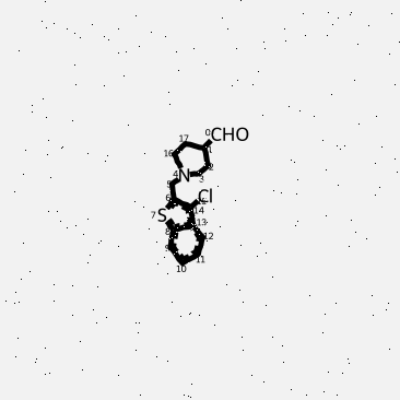 O=CC1CCN(Cc2sc3ccccc3c2Cl)CC1